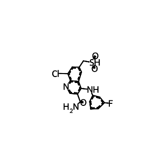 NC(=O)c1cnc2c(Cl)cc(C[SH](=O)=O)cc2c1Nc1cccc(F)c1